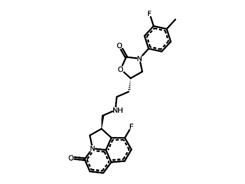 Cc1ccc(N2C[C@H](CCNC[C@@H]3Cn4c(=O)ccc5ccc(F)c3c54)OC2=O)cc1F